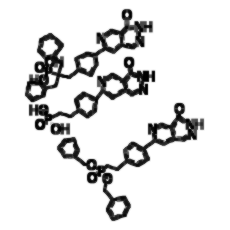 O=c1[nH]ncc2cc(-c3ccc(CC(Cc4ccccc4)(Cc4ccccc4)P(=O)(O)O)cc3)ncc12.O=c1[nH]ncc2cc(-c3ccc(CCP(=O)(O)O)cc3)ncc12.O=c1[nH]ncc2cc(-c3ccc(CCP(=O)(OCc4ccccc4)OCc4ccccc4)cc3)ncc12